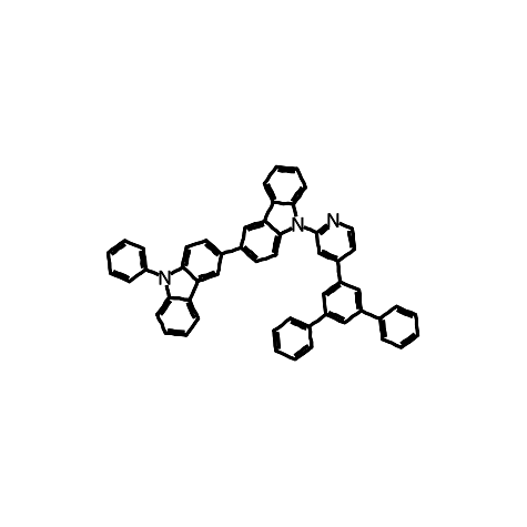 c1ccc(-c2cc(-c3ccccc3)cc(-c3ccnc(-n4c5ccccc5c5cc(-c6ccc7c(c6)c6ccccc6n7-c6ccccc6)ccc54)c3)c2)cc1